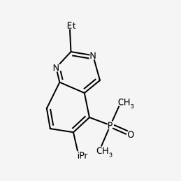 CCc1ncc2c(P(C)(C)=O)c(C(C)C)ccc2n1